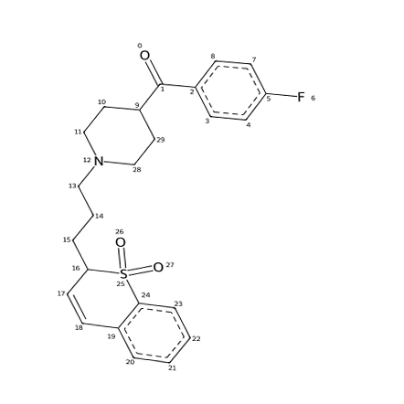 O=C(c1ccc(F)cc1)C1CCN(CCCC2C=Cc3ccccc3S2(=O)=O)CC1